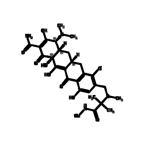 CN(C)[C@@H]1C(O)=C(C(N)=O)C(=O)[C@@]2(O)C(O)=C3C(=O)c4c(O)cc(CN(C)C(C)(C)C(=O)NC(C)(C)C)c(Cl)c4C[C@H]3C[C@@H]12